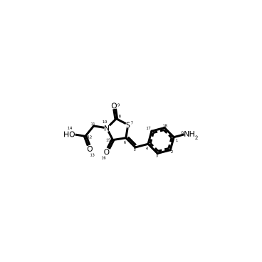 Nc1ccc(/C=C2\SC(=O)N(CC(=O)O)C2=O)cc1